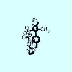 Cc1c(CC(C)C)sc(S(=O)(=O)OC(N)=O)c1-c1ccc(Cn2ccnc2C)cc1